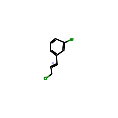 ClC/C=C/c1cccc(Br)c1